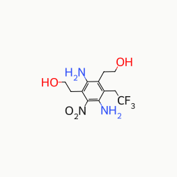 Nc1c(CCO)c(CC(F)(F)F)c(N)c([N+](=O)[O-])c1CCO